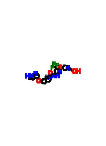 Cc1cc2c(Oc3ccc4c(c3)[C@H](C)N(C(=O)Nc3cnc(OC5CCN(CCO)CC5)c(C(F)(F)F)c3)CC4)ccnc2[nH]1